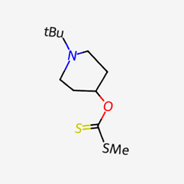 CSC(=S)OC1CCN(C(C)(C)C)CC1